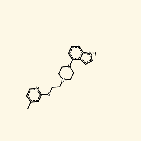 Cc1ccnc(SCCN2CCN(c3cccc4[nH]ccc34)CC2)c1